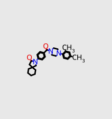 Cc1ccc(N2CCN(C(=O)c3ccc(N4CC5(CCCCC5)CC4=O)cc3)CC2)c(C)c1